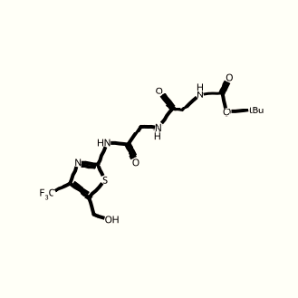 CC(C)(C)OC(=O)NCC(=O)NCC(=O)Nc1nc(C(F)(F)F)c(CO)s1